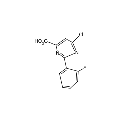 O=C(O)c1cc(Cl)nc(-c2ccccc2F)n1